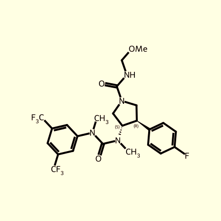 COCNC(=O)N1C[C@@H](N(C)C(=O)N(C)c2cc(C(F)(F)F)cc(C(F)(F)F)c2)[C@H](c2ccc(F)cc2)C1